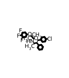 C[C@H](NC(=O)C(C)(C)Oc1cc(F)c(F)c(F)c1)[C@@H](Cc1ccc(Cl)cc1)c1ccccc1